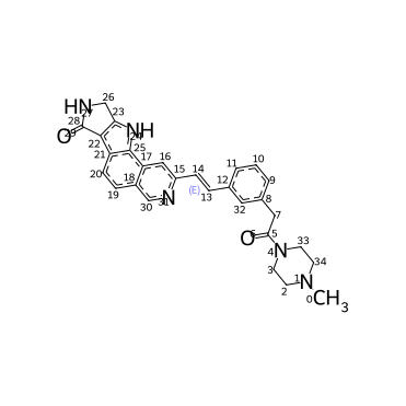 CN1CCN(C(=O)Cc2cccc(/C=C/c3cc4c(ccc5c6c([nH]c54)CNC6=O)cn3)c2)CC1